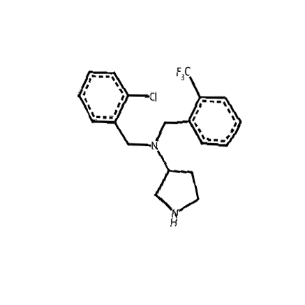 FC(F)(F)c1ccccc1CN(Cc1ccccc1Cl)C1CCNC1